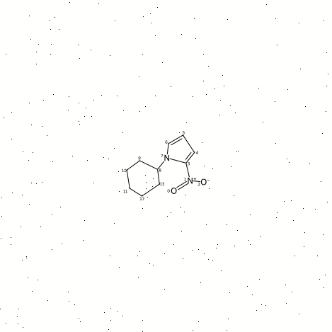 O=[N+]([O-])c1cccn1C1CCCCC1